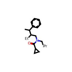 CCC(CN(CC(C)C)C(=O)C1CC1)C(C)c1ccccc1